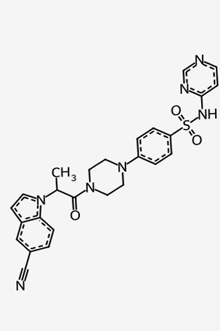 CC(C(=O)N1CCN(c2ccc(S(=O)(=O)Nc3ccncn3)cc2)CC1)n1ccc2cc(C#N)ccc21